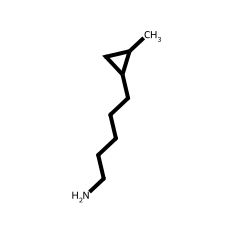 CC1CC1CCCCCN